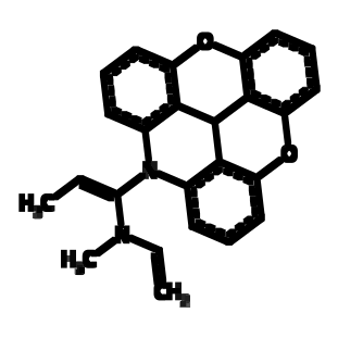 C=CN(C)/C(=C\C)N1c2cccc3c2C2c4c(cccc4Oc4cccc1c42)O3